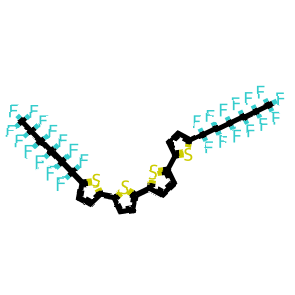 FC(F)(F)C(F)(F)C(F)(F)C(F)(F)C(F)(F)C(F)(F)c1ccc(-c2ccc(-c3ccc(-c4ccc(C(F)(F)C(F)(F)C(F)(F)C(F)(F)C(F)(F)C(F)(F)F)s4)s3)s2)s1